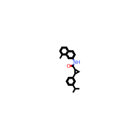 Cc1cccc2ccc(NC(=O)C3CC3c3cccc(C(C)C)c3)cc12